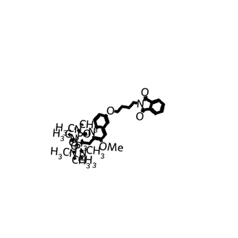 COc1cc2cc(OCCCCN3C(=O)c4ccccc4C3=O)ccc2nc1CC(P(=O)(N(C)C)N(C)C)P(=O)(N(C)C)N(C)C